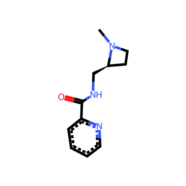 CN1CC[C@H]1CNC(=O)c1ccccn1